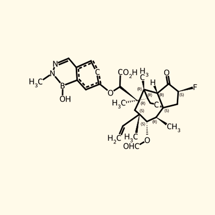 C=C[C@]1(C)C[C@@H](C(Oc2ccc3c(c2)B(O)N(C)N=C3)C(=O)O)[C@@]2(C)[C@H](C)CC[C@]3(C[C@H](F)C(=O)[C@H]32)[C@@H](C)[C@@H]1OC=O